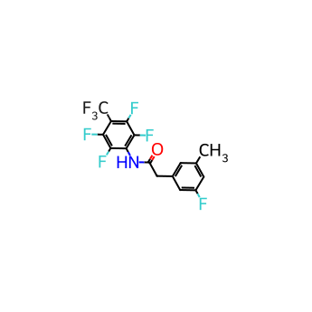 Cc1cc(F)cc(CC(=O)Nc2c(F)c(F)c(C(F)(F)F)c(F)c2F)c1